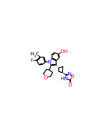 Cc1cc(-n2c(C3CCOCC3)c([C@H]3C[C@H](c4noc(=O)[nH]4)C3)c3cc(O)ccc32)ccc1F